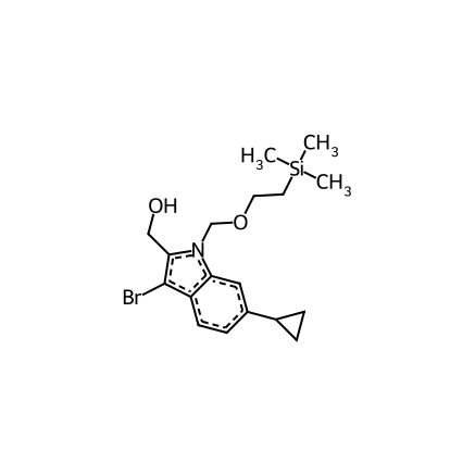 C[Si](C)(C)CCOCn1c(CO)c(Br)c2ccc(C3CC3)cc21